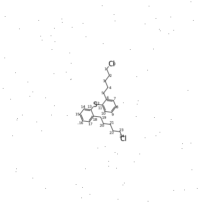 ClCCCCCc1ccccc1Sc1ccccc1CCCCCCl